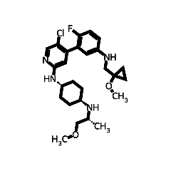 COC[C@@H](C)N[C@H]1CC[C@H](Nc2cc(-c3cc(NCC4(OC)CC4)ccc3F)c(Cl)cn2)CC1